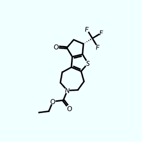 CCOC(=O)N1CCc2sc3c(c2CC1)C(=O)C[C@@H]3C(F)(F)F